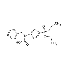 CCCP(=O)(OCC)c1ccc(N(Cc2ccccc2)C(=O)O)cc1